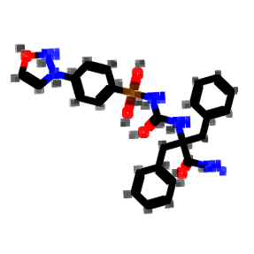 NC(=O)C(Cc1ccccc1)(Cc1ccccc1)NC(=O)NS(=O)(=O)c1ccc(N2C=CON2)cc1